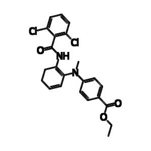 CCOC(=O)c1ccc(N(C)C2=C(NC(=O)c3c(Cl)cccc3Cl)CCC=C2)cc1